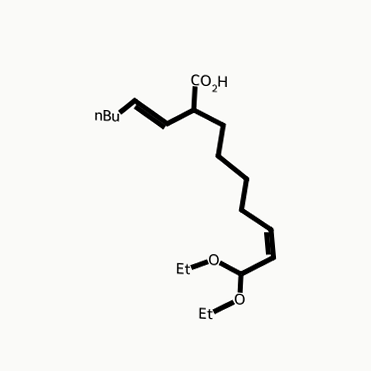 CCCCC=CC(CCCC/C=C\C(OCC)OCC)C(=O)O